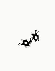 Cc1c(Br)cncc1OCc1ccc(Cl)cc1